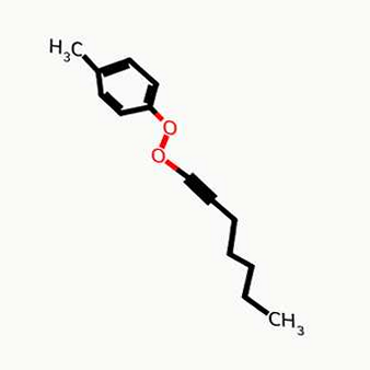 CCCCCC#COOc1ccc(C)cc1